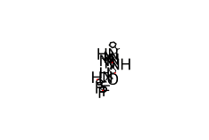 CNc1nc(NCC(C)c2ccccc2)nc(NC2CCC(C(=O)NCc3ccccc3SC(F)(F)F)CC2)n1